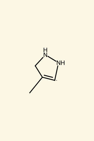 CC1=[C]NNC1